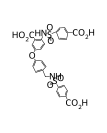 O=C(O)c1ccc(S(=O)(=O)NCc2ccc(Oc3ccc(NS(=O)(=O)c4ccc(C(=O)O)cc4)c(C(=O)O)c3)cc2)cc1